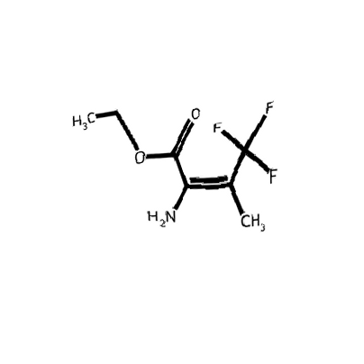 CCOC(=O)C(N)=C(C)C(F)(F)F